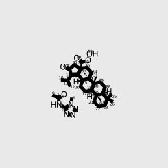 CC(=O)Nc1nnnn1C.CC(C)C1=C2[C@H]3CC[C@@H]4[C@@]5(C)CCCC(C)(C)[C@@H]5CC[C@@]4(C)[C@]3(C)CC[C@@]2(C(=O)OO)CC1=O